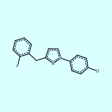 Fc1ccccc1Cc1ccn(-c2ccc(Cl)cc2)n1